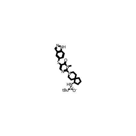 Cn1c(N2CCC3(CCC[C@H]3N[S+]([O-])C(C)(C)C)CC2)ncc(Sc2ccc3[nH]ncc3c2)c1=O